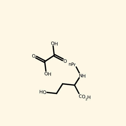 CCCNC(CCO)C(=O)O.O=C(O)C(=O)O